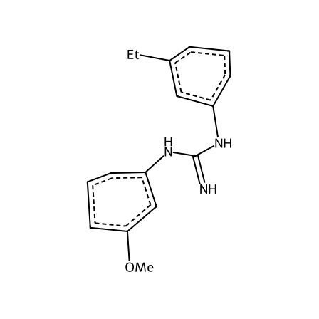 CCc1cccc(NC(=N)Nc2cccc(OC)c2)c1